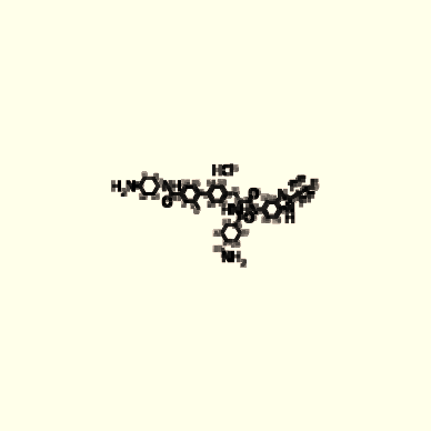 Cc1cc(C(=O)N[C@H]2CC[C@H](N)CC2)ccc1-c1ccc(C[C@H](NC(=O)[C@H]2CC[C@H](CN)CC2)C(=O)Nc2ccc3[nH]c(C(F)(F)C(F)(F)F)nc3c2)cc1.Cl